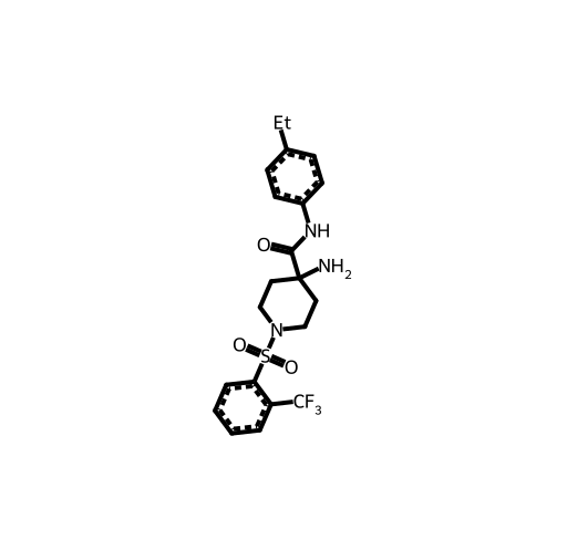 CCc1ccc(NC(=O)C2(N)CCN(S(=O)(=O)c3ccccc3C(F)(F)F)CC2)cc1